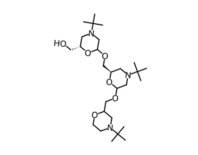 CC(C)(C)N1CCOC(COC2CN(C(C)(C)C)C[C@H](COC3CN(C(C)(C)C)C[C@@H](CO)O3)O2)C1